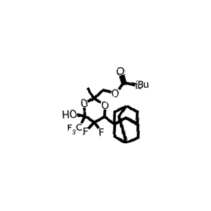 CCC(C)C(=O)OCC1(C)OC(C23CC4CC(CC(C4)C2)C3)C(F)(F)C(O)(C(F)(F)F)O1